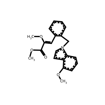 COC(=O)C(=Cc1ccccc1Cn1ccc2c(OC)cccc21)OC